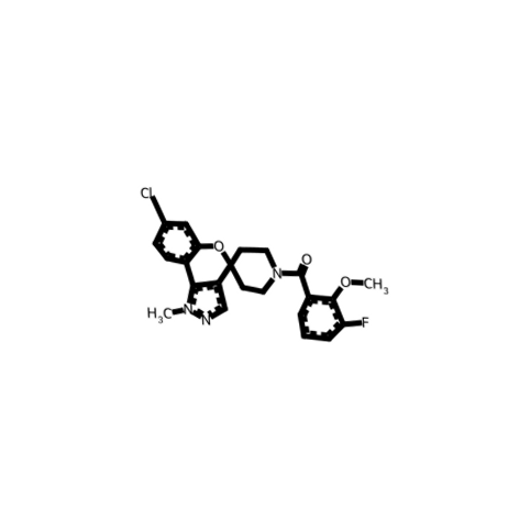 COc1c(F)cccc1C(=O)N1CCC2(CC1)Oc1cc(Cl)ccc1-c1c2cnn1C